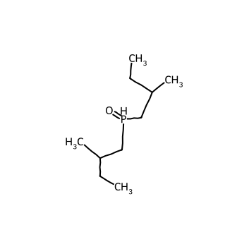 CCC(C)C[PH](=O)CC(C)CC